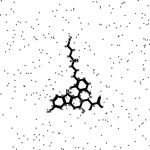 C=C(C)C(C)CN1C(c2c(F)ccc(CCCNCCCF)c2C)c2[nH]c3ccc(F)cc3c2C[C@H]1C